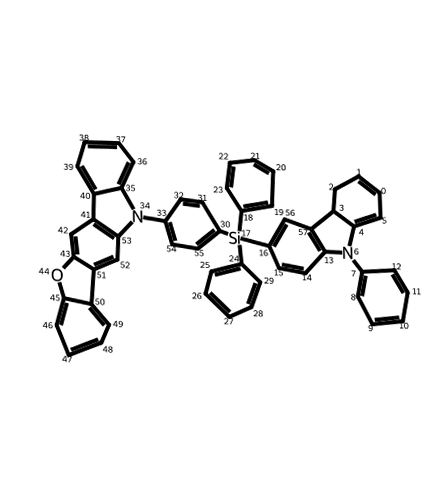 C1=CCC2C(=C1)N(c1ccccc1)c1ccc([Si](c3ccccc3)(c3ccccc3)c3ccc(-n4c5ccccc5c5cc6oc7ccccc7c6cc54)cc3)cc12